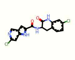 O=C(NC1Cc2ccc(Cl)cc2NC1=O)c1cc2cnc(Cl)cc2[nH]1